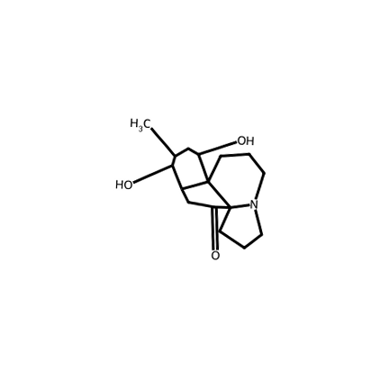 CC1CC(O)C23CCCN4CCCC42C(=O)CC3C1O